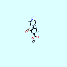 COC(=O)C1=CC(=S=O)C(C2CCNCC2)C=C1